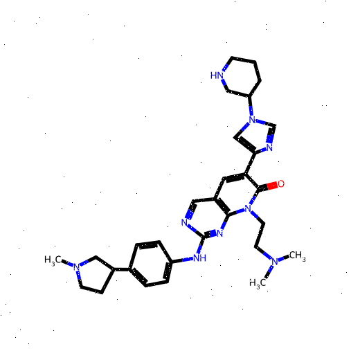 CN(C)CCn1c(=O)c(-c2cn(C3CCCNC3)cn2)cc2cnc(Nc3ccc(C4CCN(C)C4)cc3)nc21